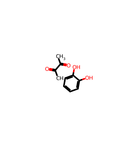 CC(=O)C(C)=O.Oc1ccccc1O